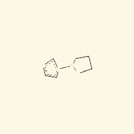 c1cn(N2CCCN2)cn1